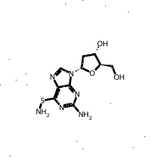 NSc1nc(N)nc2c1ncn2[C@@H]1C[C@H](O)[C@@H](CO)O1